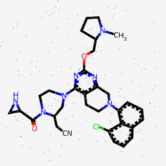 CN1CCCC1COc1nc2c(c(N3CCN(C(=O)C4CN4)C(CC#N)C3)n1)CCN(c1cccc3cccc(Cl)c13)C2